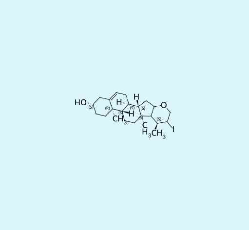 C[C@@H]1C(I)COC2C[C@H]3[C@@H]4CC=C5C[C@@H](O)CC[C@]5(C)[C@H]4CC[C@]3(C)C21